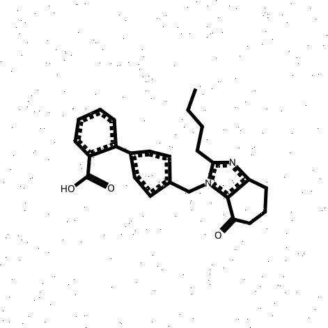 CCCCc1nc2c(n1Cc1ccc(-c3ccccc3C(=O)O)cc1)C(=O)CCC2